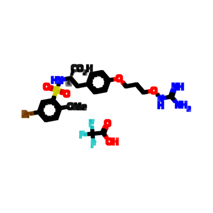 COc1ccc(Br)cc1S(=O)(=O)N[C@@H](Cc1ccc(OCCCONC(=N)N)cc1)C(=O)O.O=C(O)C(F)(F)F